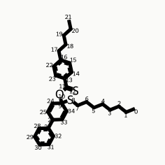 CCCCCCCCSC1(OC(=S)c2ccc(CCCCC)cc2)C=CC(c2ccccc2)C=C1